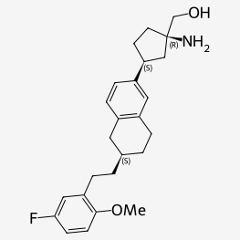 COc1ccc(F)cc1CC[C@@H]1CCc2cc([C@H]3CC[C@](N)(CO)C3)ccc2C1